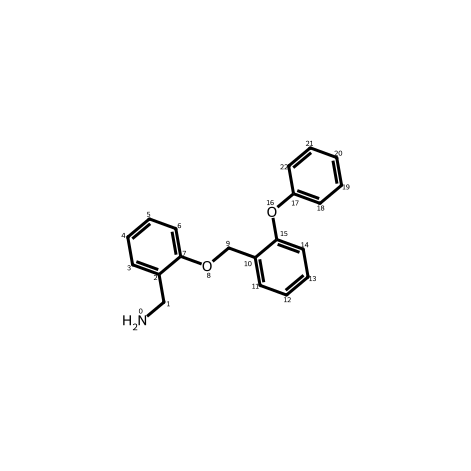 NCc1ccccc1OCc1ccccc1Oc1ccccc1